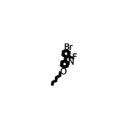 CCCCCCOc1ccc2c(c1)nc(F)c1cc(Br)ccc12